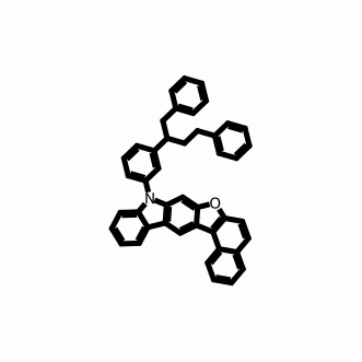 c1ccc(CCC(Cc2ccccc2)c2cccc(-n3c4ccccc4c4cc5c(cc43)oc3ccc4ccccc4c35)c2)cc1